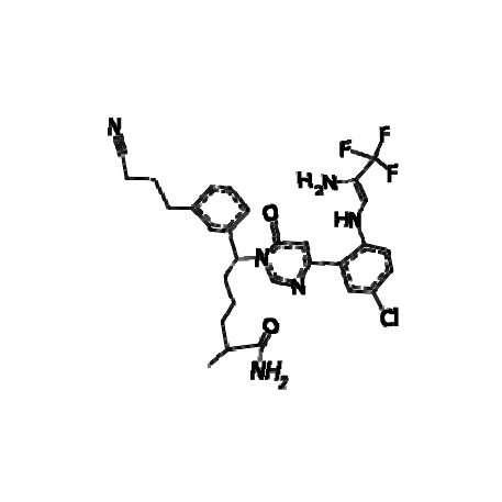 CC(CCCC(c1cccc(CCCC#N)c1)n1cnc(-c2cc(Cl)ccc2N/C=C(\N)C(F)(F)F)cc1=O)C(N)=O